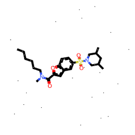 CCCCCCN(C)C(=O)c1cc2cc(S(=O)(=O)N3CC(C)CC(C)C3)ccc2o1